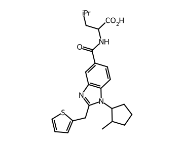 CC(C)CC(NC(=O)c1ccc2c(c1)nc(Cc1cccs1)n2C1CCCC1C)C(=O)O